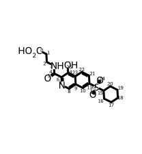 O=C(O)CCNC(=O)c1ncc2cc(S(=O)(=O)C3CCCCC3)ccc2c1O